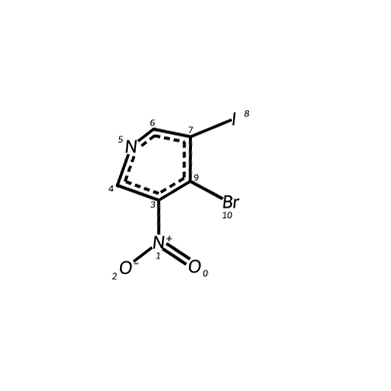 O=[N+]([O-])c1cncc(I)c1Br